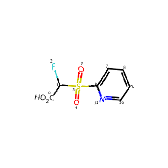 O=C(O)C(F)S(=O)(=O)c1ccccn1